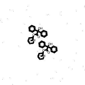 O=C(OC1CC2CCN1CC2)C(O)(c1ccccc1)c1ccccc1.O=C(OC1CC2CCN1CC2)C(O)(c1ccccc1)c1ccccc1